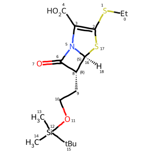 CCSC1=C(C(=O)O)N2C(=O)[C@@H](CCO[Si](C)(C)C(C)(C)C)[C@@H]2S1